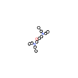 C1=CCC(C2C=CC(N(C3C=CC4=C(C3)OC3C=C5CC(N(C6=CC=C(C7CCCCC7)CC6)C6C=C7C=CCCC7=CC6)C=CC5=CC43)C3CC=C4C=CCCC4C3)=CC2)C=C1